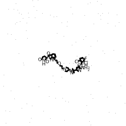 CC(Oc1cc(-c2cnn(C3CCN(CCCOCCNc4cccc5c4CN(C4CCC(=O)NC4=O)C5=O)CC3)c2)cnc1N)c1c(Cl)ccc(F)c1Cl